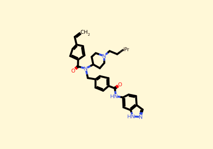 C=Cc1ccc(C(=O)N(Cc2ccc(C(=O)Nc3ccc4cn[nH]c4c3)cc2)C2CCN(CCC(C)C)CC2)cc1